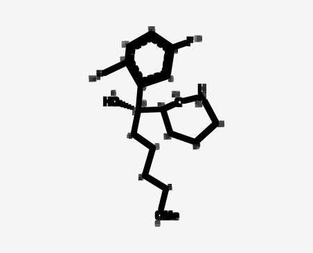 COCCCC[C@@](O)(c1cc(F)ccc1F)C1CCCNC1